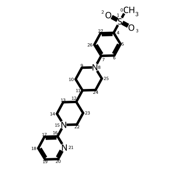 CS(=O)(=O)c1ccc(N2CCC(C3CCN(c4ccccn4)CC3)CC2)cc1